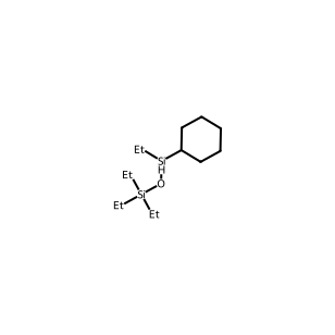 CC[SiH](O[Si](CC)(CC)CC)C1CCCCC1